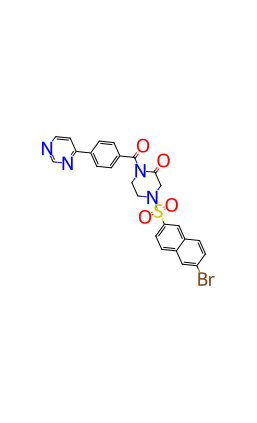 O=C1CN(S(=O)(=O)c2ccc3cc(Br)ccc3c2)CCN1C(=O)c1ccc(-c2ccncn2)cc1